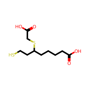 O=C(O)CCCCC(CCS)SCC(=O)O